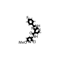 COc1ccc(NC(=O)c2ccnc3[nH]c(-c4ccc(F)cc4)nc23)c(Cl)n1